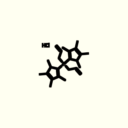 C=C[CH2][Zr]([CH2]C=C)([C]1=C(C)C(C)=C(C)C1C)[C]1=C(C)C(C)=C(C)C1C.Cl